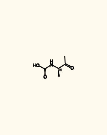 CC(=O)[C@@H](C)NC(=O)O